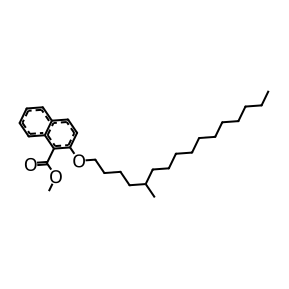 CCCCCCCCCCCC(C)CCCCOc1ccc2ccccc2c1C(=O)OC